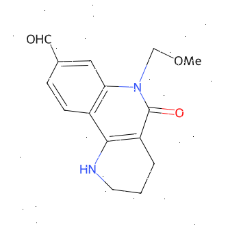 COCn1c(=O)c2c(c3ccc(C=O)cc31)NCCC2